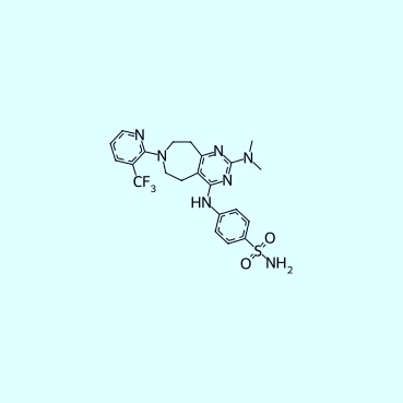 CN(C)c1nc2c(c(Nc3ccc(S(N)(=O)=O)cc3)n1)CCN(c1ncccc1C(F)(F)F)CC2